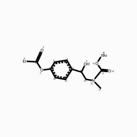 CCC(=O)Oc1ccc(C(O)CN(C)C(=O)OC(C)(C)C)cc1